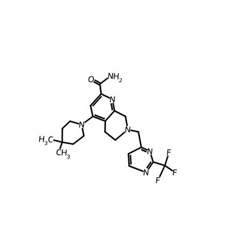 CC1(C)CCN(c2cc(C(N)=O)nc3c2CCN(Cc2ccnc(C(F)(F)F)n2)C3)CC1